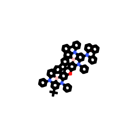 CC(C)(C)c1cc2c3c(c1)N(c1ccccc1)c1cc4c(cc1B3c1ccccc1N2c1ccccc1)C1(c2cc3c(cc2O4)N(c2ccccc2)c2cc(N(c4ccccc4)c4ccccc4-c4ccccc4)cc4c2B3c2ccccc2N4c2ccccc2-c2ccccc2)c2ccccc2-c2ccccc21